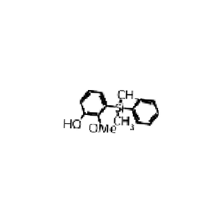 COc1c(O)cccc1[Si](C)(C)c1ccccc1